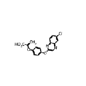 C=C(Oc1ccc(Oc2cnc3cc(Cl)ccc3n2)cc1)C(=O)O